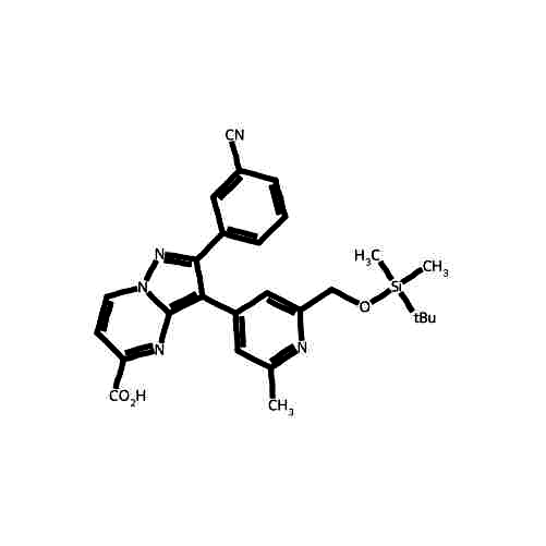 Cc1cc(-c2c(-c3cccc(C#N)c3)nn3ccc(C(=O)O)nc23)cc(CO[Si](C)(C)C(C)(C)C)n1